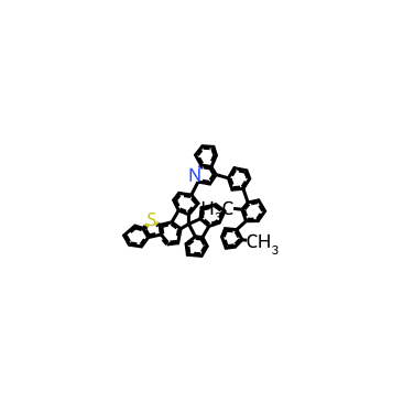 Cc1ccccc1-c1cccc(-c2cccc(-c3cc(-c4ccc5c(c4)C4(c6ccccc6-c6ccccc64)c4ccc6c(sc7ccccc76)c4-5)nc4ccccc34)c2)c1C